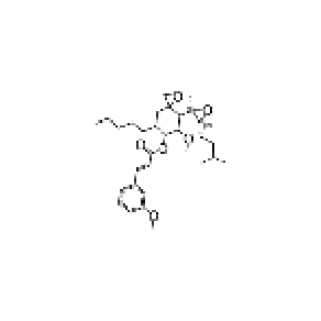 CCCCCC1CC2(CO2)C([C@@]2(C)O[C@@H]2CCC(C)C)C(OC)C1OC(=O)C=Cc1cccc(OC)c1